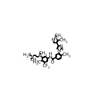 Cc1ccc(C(=O)Nc2cc(N(C)CCN(C)C)c(C)c(C(F)(F)F)c2)cc1-n1cc(-c2cnn(C)c2C)nn1